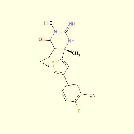 CN1C(=N)N[C@](C)(c2cc(-c3ccc(F)c(C#N)c3)cs2)C(C2CC2)C1=O